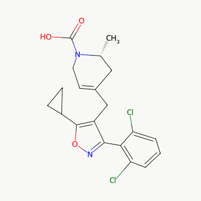 C[C@@H]1CC(Cc2c(-c3c(Cl)cccc3Cl)noc2C2CC2)=CCN1C(=O)O